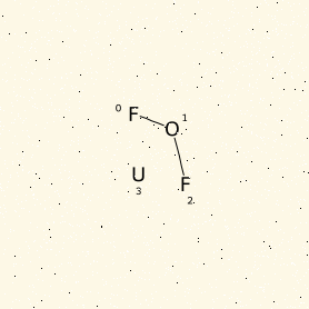 FOF.[U]